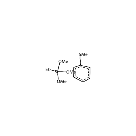 CC[Si](OC)(OC)OC.CSc1ccccc1